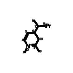 CC1=[N+](C)C=CC(C(C)C(C)C)C1